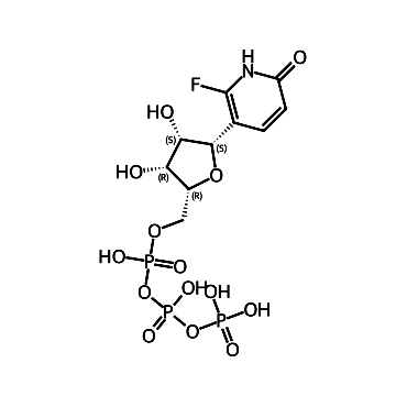 O=c1ccc([C@@H]2O[C@H](COP(=O)(O)OP(=O)(O)OP(=O)(O)O)[C@H](O)[C@@H]2O)c(F)[nH]1